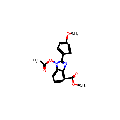 COC(=O)c1cccc2c1nc(-c1ccc(OC)cc1)n2OC(C)=O